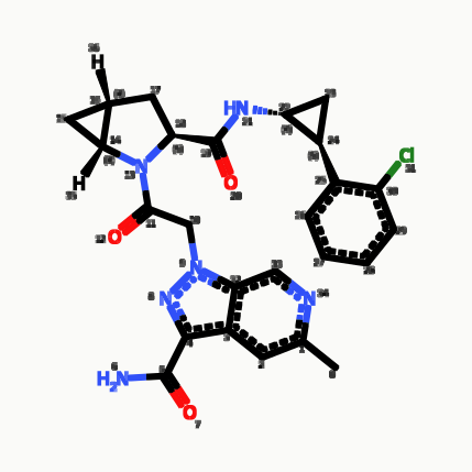 Cc1cc2c(C(N)=O)nn(CC(=O)N3[C@@H]4C[C@@H]4C[C@H]3C(=O)N[C@@H]3C[C@H]3c3ccccc3Cl)c2cn1